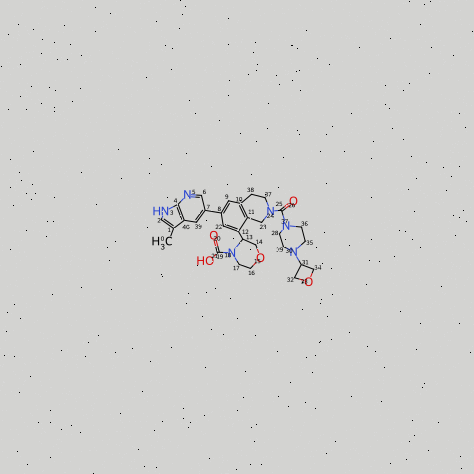 Cc1c[nH]c2ncc(-c3cc4c(c(C5COCCN5C(=O)O)c3)CN(C(=O)N3CCN(C5COC5)CC3)CC4)cc12